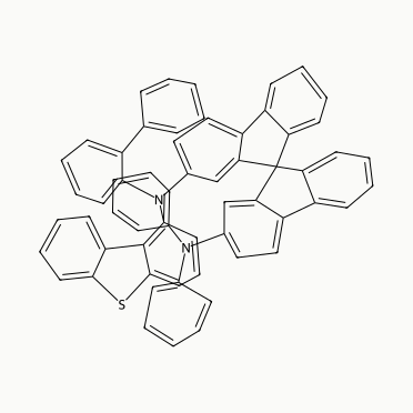 c1ccc(-c2ccccc2N(c2ccc3c(c2)C2(c4ccccc4-c4ccc(N(c5ccccc5)c5ccccc5)cc42)c2ccccc2-3)c2cccc3sc4ccccc4c23)cc1